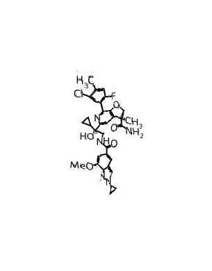 COc1cc(C(=O)NC[C@](O)(c2cc3c(c(-c4cc(Cl)c(C)cc4F)n2)OC[C@]3(C)C(N)=O)C2CC2)cc2cn(C3CC3)nc12